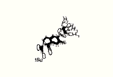 CC(C)(C)OC(=O)N1CCc2cc(B3OC(C)(C)C(C)(C)O3)c(F)cc2C1=O